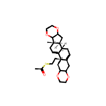 CC(=O)SCC[C@]12CC3OCCOC3CC1=CC[C@@H]1C2=CC[C@]2(C)C3OCCOC3C[C@@H]12